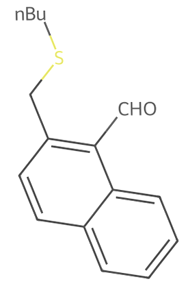 CCCCSCc1ccc2ccccc2c1C=O